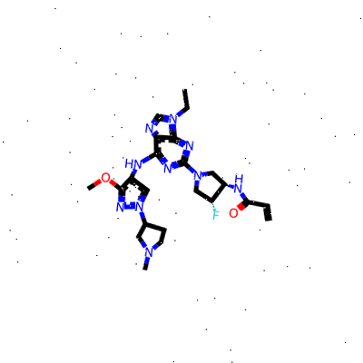 C=CC(=O)N[C@@H]1CN(c2nc(Nc3cn(C4CCN(C)C4)nc3OC)c3ncn(CC)c3n2)C[C@H]1F